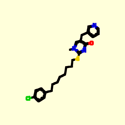 Cn1cc(Cc2cccnc2)c(=O)nc1SCCCCCCCCc1ccc(Cl)cc1